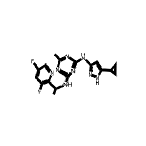 Cc1nc(Nc2cc(C3CC3)[nH]n2)nc(NC(C)c2ncc(F)cc2F)n1